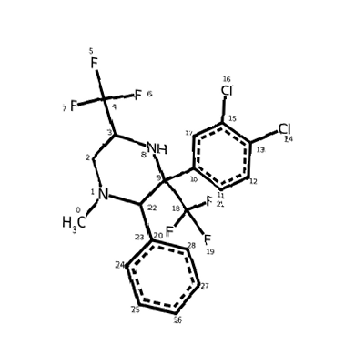 CN1CC(C(F)(F)F)NC(c2ccc(Cl)c(Cl)c2)(C(F)(F)F)C1c1ccccc1